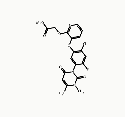 COC(=O)COc1ncccc1Oc1cc(-n2c(=O)cc(C)n(C)c2=O)c(F)cc1Cl